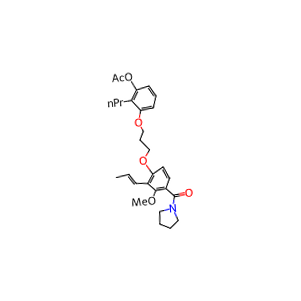 CC=Cc1c(OCCCOc2cccc(OC(C)=O)c2CCC)ccc(C(=O)N2CCCC2)c1OC